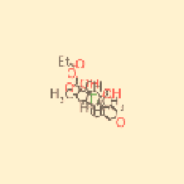 CCC(=O)OCC(=O)[C@@]1(O)C(C)C[C@H]2[C@@H]3CCC4=CC(=O)C=C[C@]4(C)[C@@]3(F)C(O)C[C@@]21C